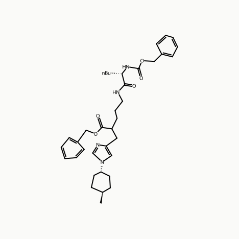 CCCC[C@H](NC(=O)OCc1ccccc1)C(=O)NCCCC(Cc1cn([C@H]2CC[C@H](C)CC2)cn1)C(=O)OCc1ccccc1